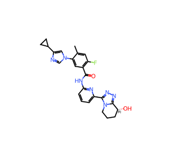 Cc1cc(F)c(C(=O)Nc2cccc(-c3nnc4n3CCC[C@H]4O)n2)cc1-n1cnc(C2CC2)c1